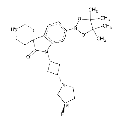 CC1(C)OB(c2ccc3c(c2)N([C@H]2C[C@@H](N4CC[C@@H](F)C4)C2)C(=O)C32CCNCC2)OC1(C)C